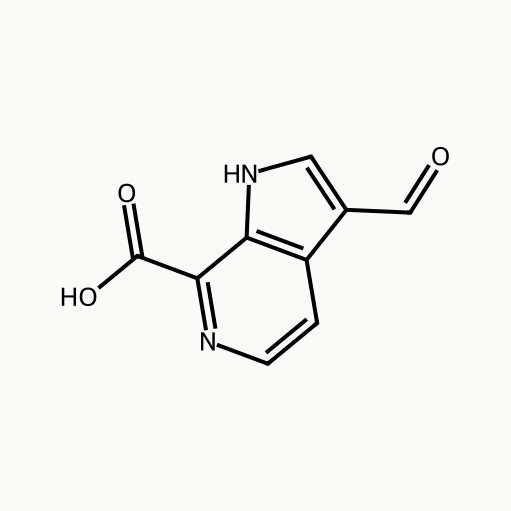 O=Cc1c[nH]c2c(C(=O)O)nccc12